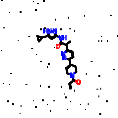 C=CC(=O)N1CC=C(c2ccc(C(C)C(=O)Nc3cc(C4CC4)[nH]n3)nn2)CC1